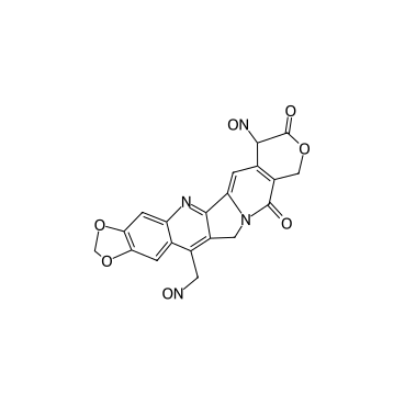 O=NCc1c2c(nc3cc4c(cc13)OCO4)-c1cc3c(c(=O)n1C2)COC(=O)C3N=O